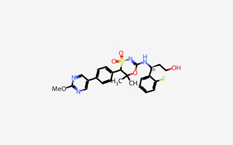 COc1ncc(-c2ccc(C3C(C)(C)OC(N[C@@H](CCO)c4ccccc4F)=NS3(=O)=O)cc2)cn1